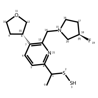 CC(SS)c1ccc([C@@H]2CCOC2)c(CN2CC[C@@H](F)C2)n1